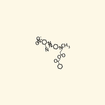 CN(CCC(=O)OCC(=O)c1ccccc1)c1ccc(/N=N/c2ccc([N+](=O)[O-])cc2C#N)cc1